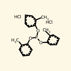 Cc1ccccc1OP(Oc1ccccc1C)Oc1ccccc1C.Cl.Cl